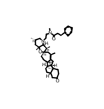 CC1=C2C[C@H]3[C@@H](CC[C@@H]4CC(=O)CC[C@@]43C)[C@@H]2CC[C@@]2(C1)O[C@]1(C)C[C@H](C)CN(CCN(C)C(=O)CCc3ccccc3)[C@H]1[C@H]2C